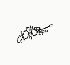 CC[C@]12CC[C@H]3[C@@H](CCC4=CC5(CC[C@@H]43)SCCS5)[C@@H]1CC[C@@]2(O)C#CCl